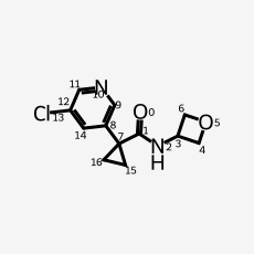 O=C(NC1COC1)C1(c2cncc(Cl)c2)CC1